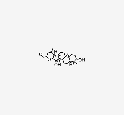 C[C@@H]1CC(C=O)OC2[C@H]1C1(C)CCC34CC35CCC(O)C(C)(C)[C@@H]5CCC4[C@]1(C)[C@H]2O